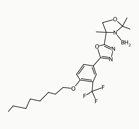 BN1C(C)(C)OCC1(C)c1nnc(-c2ccc(OCCCCCCCC)c(C(F)(F)F)c2)o1